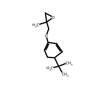 CC1(COC2=CCC(C(C)(C)C)C=C2)CO1